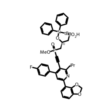 COP(=O)(C#Cc1c(-c2ccc(F)cc2)cc(-c2cccc3c2OCO3)nc1C(C)C)C[C@H](CC(=O)O)O[Si](c1ccccc1)(c1ccccc1)C(C)(C)C